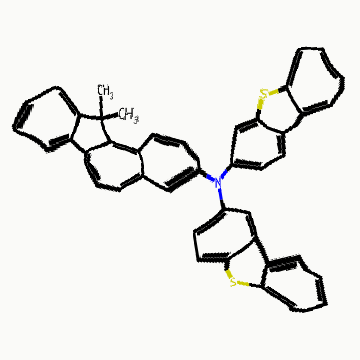 CC1(C)c2ccccc2-c2ccc3cc(N(c4ccc5c(c4)sc4ccccc45)c4ccc5sc6ccccc6c5c4)ccc3c21